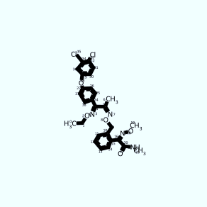 CCON=C(C(C)=NOCc1ccccc1C(=NOC)C(=O)NC)c1ccc(Oc2ccc(Cl)c(Cl)c2)cc1